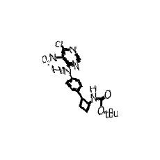 CC(C)(C)OC(=O)NC1CCC1c1ccc(Nc2ncnc(Cl)c2[N+](=O)[O-])cc1